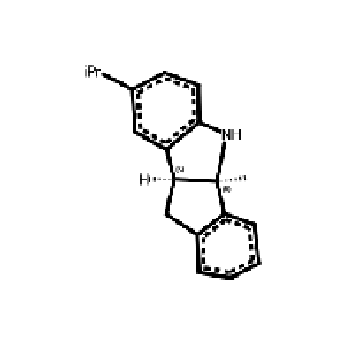 CC(C)c1ccc2c(c1)[C@@H]1Cc3ccccc3[C@]1(C)N2